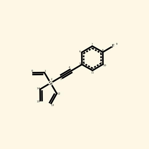 C=C[Si](C#Cc1ccc(F)cc1)(C=C)C=C